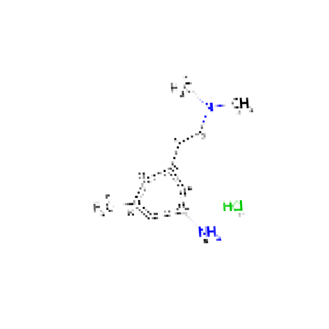 CN(C)CCc1cc(N)cc(C(F)(F)F)c1.Cl